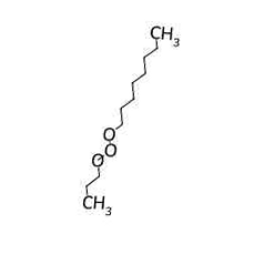 CCCCCCCCOOOCCC